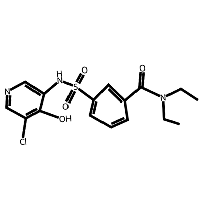 CCN(CC)C(=O)c1cccc(S(=O)(=O)Nc2cncc(Cl)c2O)c1